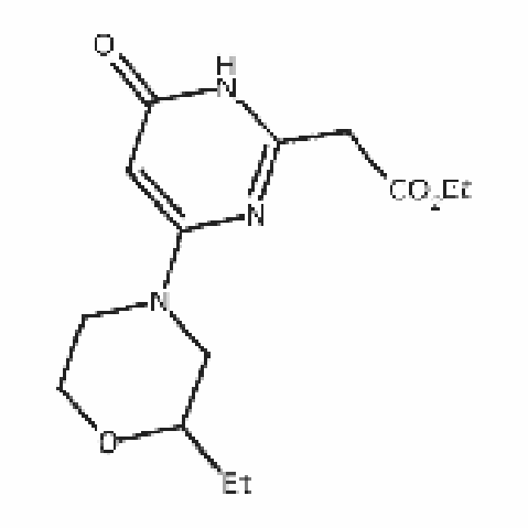 CCOC(=O)Cc1nc(N2CCOC(CC)C2)cc(=O)[nH]1